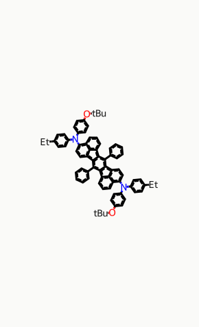 CCc1ccc(N(c2ccc(OC(C)(C)C)cc2)c2ccc3c4c(-c5ccccc5)c5c6cccc7c(N(c8ccc(CC)cc8)c8ccc(OC(C)(C)C)cc8)ccc(c5c(-c5ccccc5)c4c4cccc2c43)c76)cc1